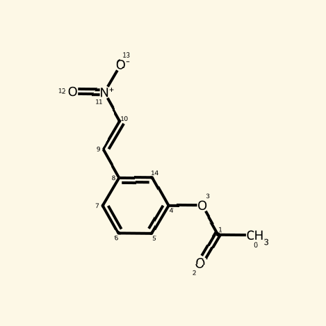 CC(=O)Oc1cccc(C=C[N+](=O)[O-])c1